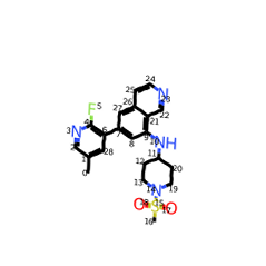 Cc1cnc(F)c(-c2cc(NC3CCN(S(C)(=O)=O)CC3)c3cnccc3c2)c1